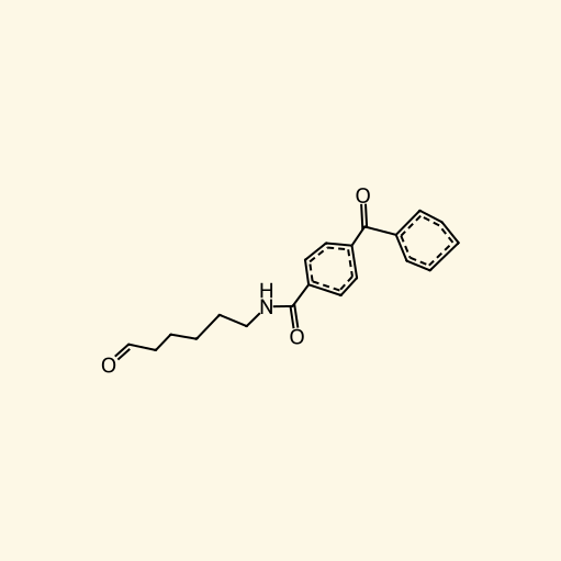 O=CCCCCCNC(=O)c1ccc(C(=O)c2ccccc2)cc1